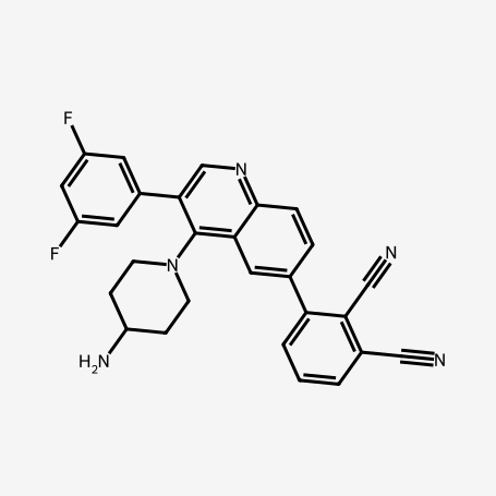 N#Cc1cccc(-c2ccc3ncc(-c4cc(F)cc(F)c4)c(N4CCC(N)CC4)c3c2)c1C#N